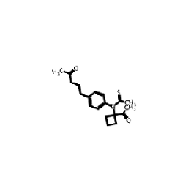 CC(=O)CCCc1ccc(N(C(C)=S)C2(C(C)=O)CCC2)cc1